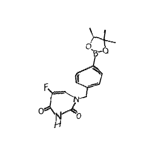 CC1OB(c2ccc(Cn3cc(F)c(=O)[nH]c3=O)cc2)OC1(C)C